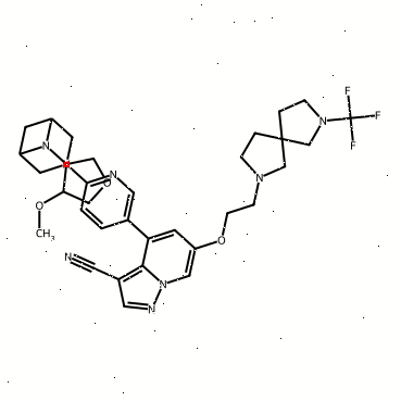 COC1COCC1N1C2CC1CN(c1ccc(-c3cc(OCCN4CCC5(CCN(C(F)(F)F)C5)C4)cn4ncc(C#N)c34)cn1)C2